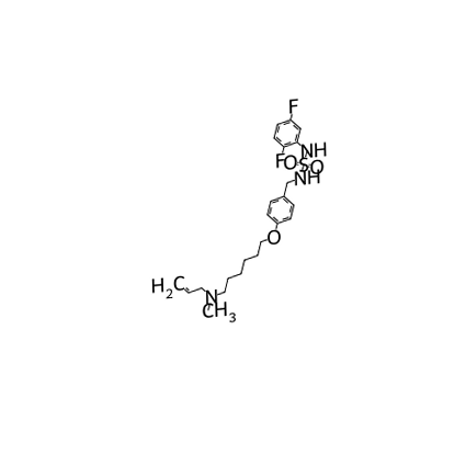 C=CCN(C)CCCCCCOc1ccc(CNS(=O)(=O)Nc2cc(F)ccc2F)cc1